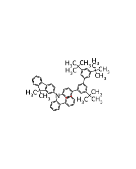 CC(C)(C)c1cc(-c2ccc(N(c3ccc4c(c3)C(C)(C)c3ccccc3-4)c3ccccc3-c3ccccc3)cc2)cc(-c2cc(C(C)(C)C)cc(C(C)(C)C)c2)c1